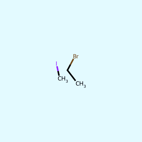 CCBr.CI